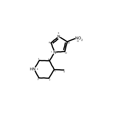 CC1CCNCC1n1cnc([N+](=O)[O-])c1